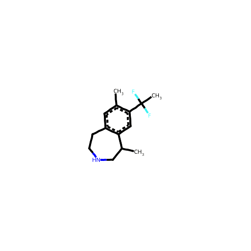 Cc1cc2c(cc1C(C)(F)F)C(C)CNCC2